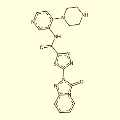 O=C(Nc1cnccc1N1CCNCC1)c1nnc(-n2nc3ccccn3c2=O)s1